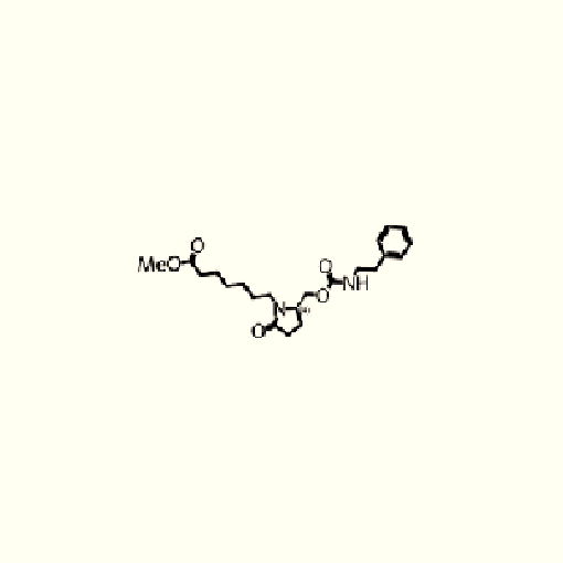 COC(=O)CCCCCCN1C(=O)CC[C@@H]1COC(=O)NCCc1ccccc1